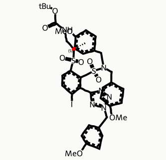 COc1ccc(CN(Cc2ccc(OC)cc2)S(=O)(=O)c2c(S(=O)(=O)[C@@H](C)CNC(=O)OC(C)(C)C)ccc(I)c2-c2nnn(Cc3ccc(OC)cc3)n2)cc1